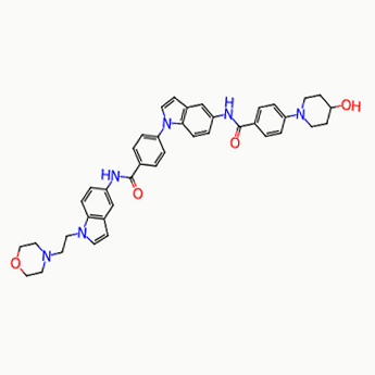 O=C(Nc1ccc2c(ccn2CCN2CCOCC2)c1)c1ccc(-n2ccc3cc(NC(=O)c4ccc(N5CCC(O)CC5)cc4)ccc32)cc1